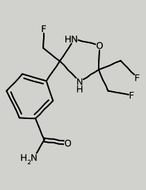 NC(=O)c1cccc(C2(CF)NOC(CF)(CF)N2)c1